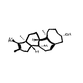 CC(=O)C1=C(C)C[C@H]2[C@@H]3CC=C4C[C@@H](O)CC[C@]4(C)[C@H]3CC[C@]12C